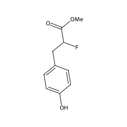 COC(=O)C(F)Cc1ccc(O)cc1